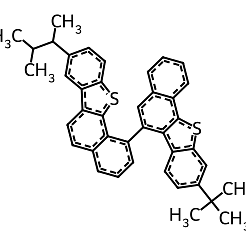 CC(C)C(C)c1ccc2sc3c(ccc4cccc(-c5cc6ccccc6c6sc7cc(C(C)(C)C)ccc7c56)c43)c2c1